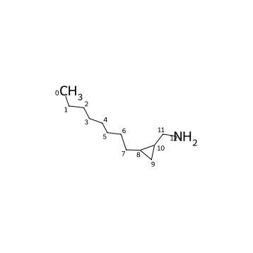 CCCCCCCCC1CC1CN